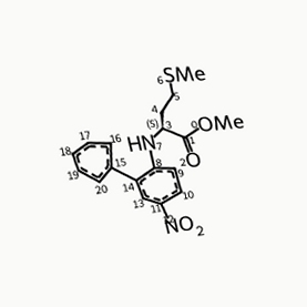 COC(=O)[C@H](CCSC)Nc1ccc([N+](=O)[O-])cc1-c1ccccc1